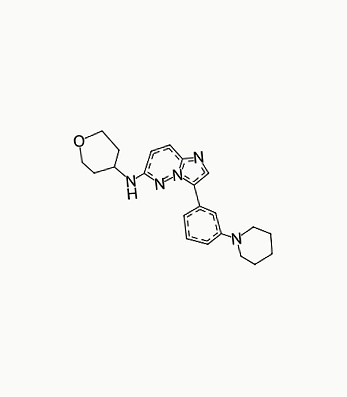 c1cc(-c2cnc3ccc(NC4CCOCC4)nn23)cc(N2CCCCC2)c1